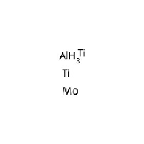 [AlH3].[Mo].[Ti].[Ti]